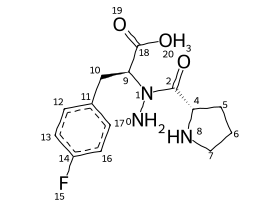 NN(C(=O)[C@@H]1CCCN1)[C@@H](Cc1ccc(F)cc1)C(=O)O